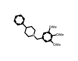 COc1cc(CN2CCC(c3ccccc3)CC2)cc(OC)c1OC